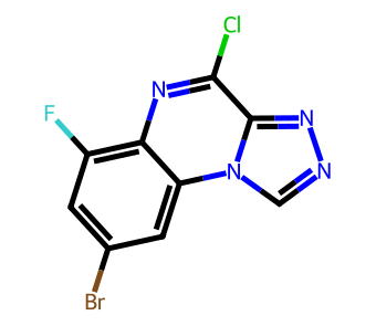 Fc1cc(Br)cc2c1nc(Cl)c1nncn12